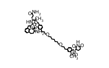 C[C@@H](OCc1ccc(CCCOCCCCCCCOCCCc2ccc3c(c2)n(C)c(=O)n3C2CCC(=O)NC2=O)cc1)[C@H](CCC(N)=O)NC(=O)[C@@H]1Cc2cccc3c2N1C(=O)[C@@H](N)CC3